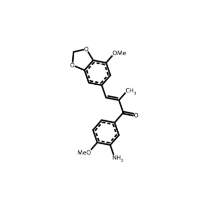 COc1ccc(C(=O)/C(C)=C/c2cc(OC)c3c(c2)OCO3)cc1N